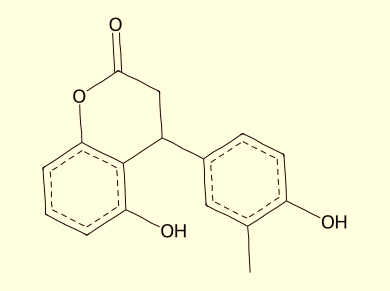 Cc1cc(C2CC(=O)Oc3cccc(O)c32)ccc1O